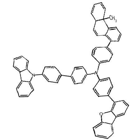 CC12C=CC=CC1C=Cc1c(-c3ccc(N(c4ccc(-c5ccc(-n6c7ccccc7c7ccccc76)cc5)cc4)c4ccc(-c5cccc6c5oc5ccccc56)cc4)cc3)cccc12